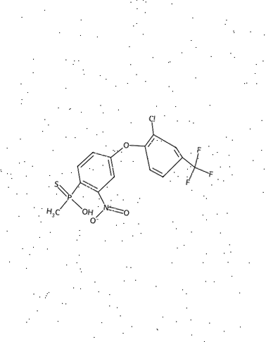 CP(O)(=S)c1ccc(Oc2ccc(C(F)(F)F)cc2Cl)cc1[N+](=O)[O-]